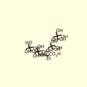 CCCCC(CC)C(=O)O.OCC(CO)(CO)CO.OCC(CO)(CO)CO.OCC(CO)(CO)CO.OCC(CO)(CO)CO